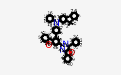 CC1(C)c2ccccc2-c2ccc(N(c3ccccc3)c3ccc(-c4cc(-c5nc(-c6ccccc6)c6oc7ccccc7c6n5)cc5oc6ccccc6c45)cc3)cc21